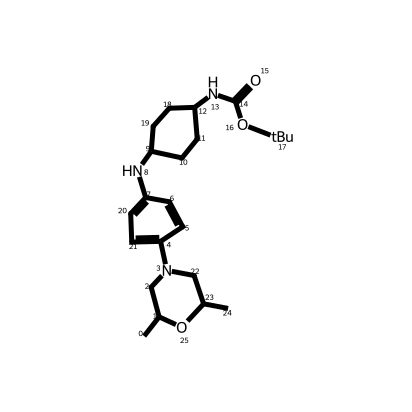 CC1CN(c2ccc(NC3CCC(NC(=O)OC(C)(C)C)CC3)cc2)CC(C)O1